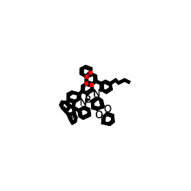 CCCCc1ccc(N2c3cc4c(cc3B3c5c(cc(-c6ccccc6)cc52)-c2cccc5c2N3c2ccccc2C52c3ccccc3-c3ccccc32)Oc2ccccc2O4)c(-c2ccccc2)c1